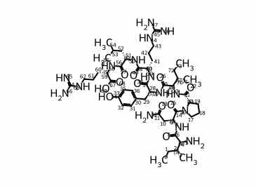 CC[C@H](C)[C@H](N)C(=O)N[C@@H](CC(N)=O)C(=O)N1CCC[C@H]1C(=O)N[C@H](C(=O)N[C@@H](Cc1ccc(O)cc1)C(=O)N[C@@H](CCCNC(=N)N)C(=O)N[C@@H](CC(C)C)C(=O)N[C@@H](CCCNC(=N)N)C(=O)O)[C@@H](C)CC